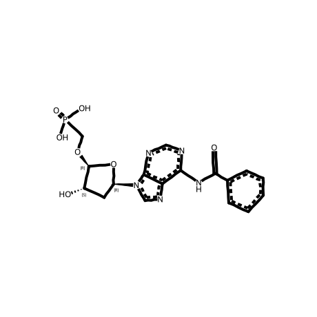 O=C(Nc1ncnc2c1ncn2[C@H]1C[C@H](O)[C@@H](OCP(=O)(O)O)O1)c1ccccc1